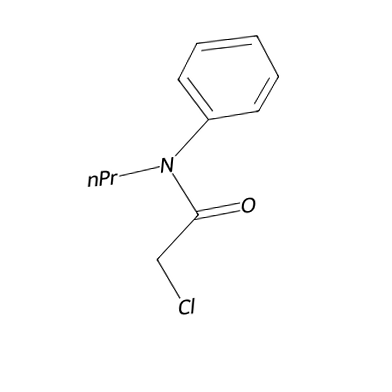 CCCN(C(=O)CCl)c1ccccc1